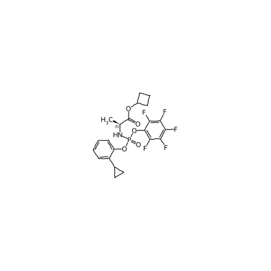 C[C@H](NP(=O)(Oc1ccccc1C1CC1)Oc1c(F)c(F)c(F)c(F)c1F)C(=O)OC1CCC1